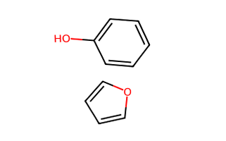 Oc1ccccc1.c1ccoc1